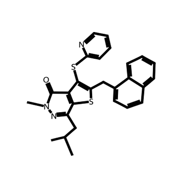 CC(C)Cc1nn(C)c(=O)c2c(Sc3ccccn3)c(Cc3cccc4ccccc34)sc12